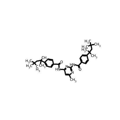 Cc1cc(NC(=O)c2ccc(C(C)(C)CC(C)(C)C)cc2)nc(NC(=O)c2ccc(C(C)(C)CC(C)(C)C)cc2)n1